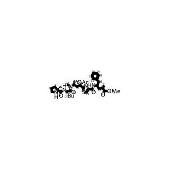 CCC(C)C(NC(=O)[C@@]1(C)CCCN1)C(=O)N(C)C(CC(OC(C)=O)c1nc(C(=O)NC(Cc2ccccc2)CC(C)C(=O)OC)cs1)C(C)C